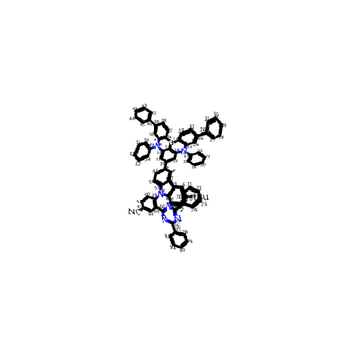 CC(C)(C)c1ccc2c(c1)c1cc(-c3cc4c5c(c3)N(c3ccccc3)c3cc(-c6ccccc6)ccc3B5c3ccc(-c5ccccc5)cc3N4c3ccccc3)ccc1n2-c1ccc(C#N)cc1-c1nc(-c2ccccc2)nc(-c2ccccc2)n1